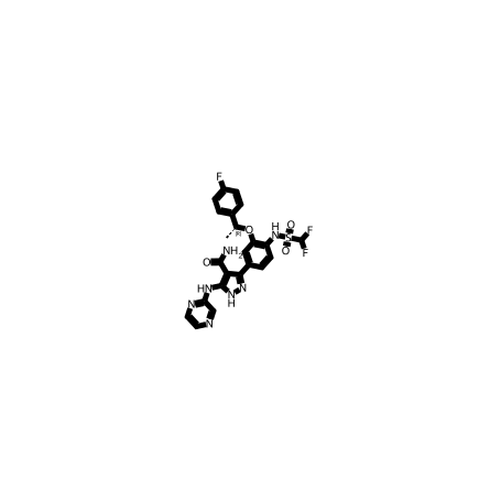 C[C@@H](Oc1cc(-c2n[nH]c(Nc3cnccn3)c2C(N)=O)ccc1NS(=O)(=O)C(F)F)c1ccc(F)cc1